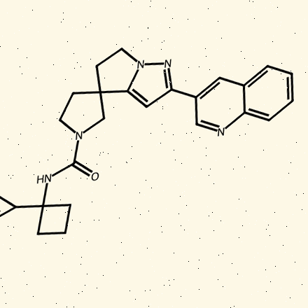 O=C(NC1(C2CC2)CCC1)N1CCC2(CCn3nc(-c4cnc5ccccc5c4)cc32)C1